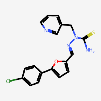 NC(=S)N(Cc1cccnc1)N=Cc1ccc(-c2ccc(Cl)cc2)o1